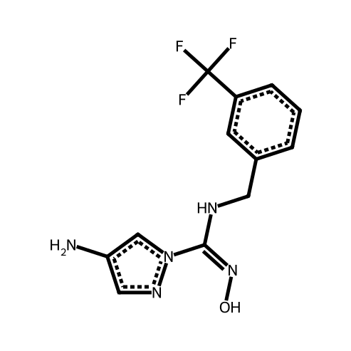 Nc1cnn(C(=NO)NCc2cccc(C(F)(F)F)c2)c1